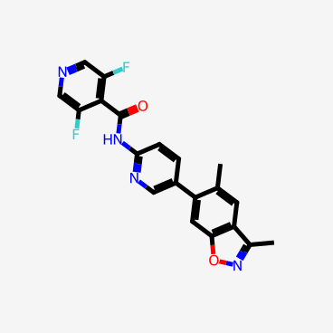 Cc1cc2c(C)noc2cc1-c1ccc(NC(=O)c2c(F)cncc2F)nc1